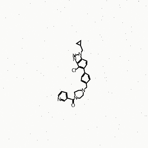 O=C(c1cccnc1)N1CCN(Cc2ccc(-c3ccc4c(nnn4CC4CC4)c3Cl)cc2)CC1